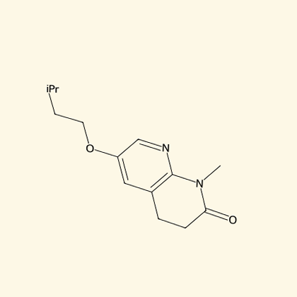 CC(C)CCOc1cnc2c(c1)CCC(=O)N2C